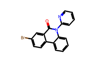 O=c1c2cc(Br)ccc2c2ccccc2n1-c1ccccn1